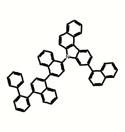 c1ccc(-c2ccccc2-c2ccc(-c3ccc(-n4c5cc(-c6cccc7ccccc67)ccc5c5c6ccccc6ccc54)c4ccccc34)c3ccccc23)cc1